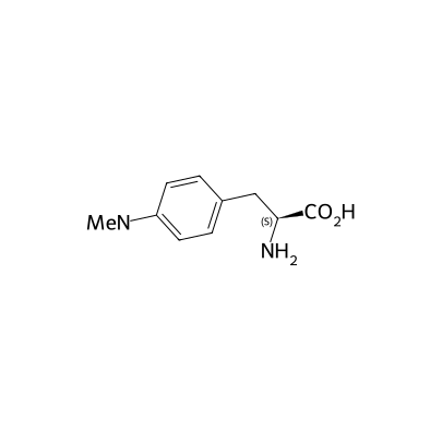 CNc1ccc(C[C@H](N)C(=O)O)cc1